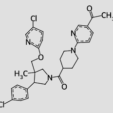 CC(=O)c1ccc(N2CCC(C(=O)N3CC(c4ccc(Cl)cc4)C(C)(COc4ccc(Cl)cn4)C3)CC2)nc1